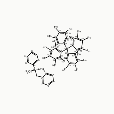 C[N+](C)(Cc1ccccc1)c1ccccc1.Fc1c(F)c(F)c([B-](c2c(F)c(F)c(F)c(F)c2F)(c2c(F)c(F)c(F)c(F)c2F)c2c(F)c(F)c(F)c(F)c2F)c(F)c1F